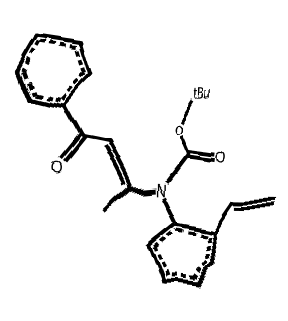 C=Cc1ccccc1N(C(=O)OC(C)(C)C)/C(C)=C/C(=O)c1ccccc1